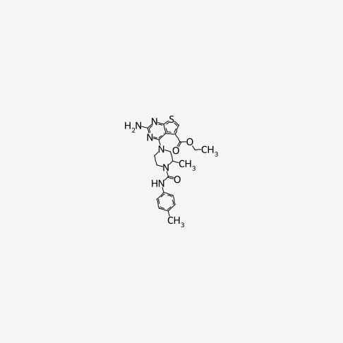 CCOC(=O)c1csc2nc(N)nc(N3CCN(C(=O)Nc4ccc(C)cc4)C(C)C3)c12